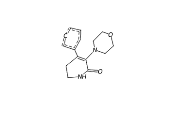 O=C1NCCC(c2ccccc2)=C1N1CCOCC1